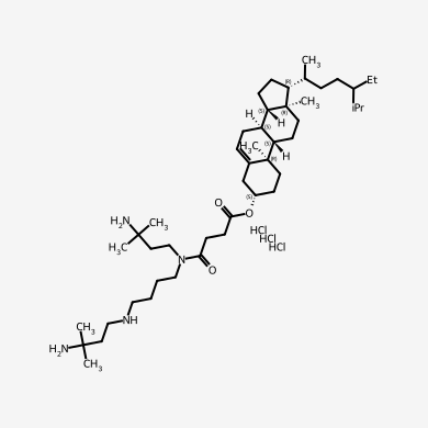 CCC(CCC(C)[C@H]1CC[C@H]2[C@@H]3CC=C4C[C@@H](OC(=O)CCC(=O)N(CCCCNCCC(C)(C)N)CCC(C)(C)N)CC[C@]4(C)[C@H]3CC[C@]12C)C(C)C.Cl.Cl.Cl